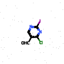 O=Cc1cnc(I)nc1Cl